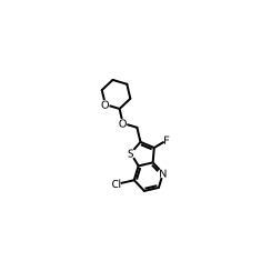 Fc1c(COC2CCCCO2)sc2c(Cl)ccnc12